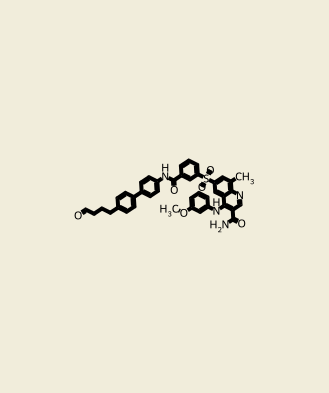 COc1cccc(Nc2c(C(N)=O)cnc3c(C)cc(S(=O)(=O)c4cccc(C(=O)Nc5ccc(-c6ccc(CCCC=O)cc6)cc5)c4)cc23)c1